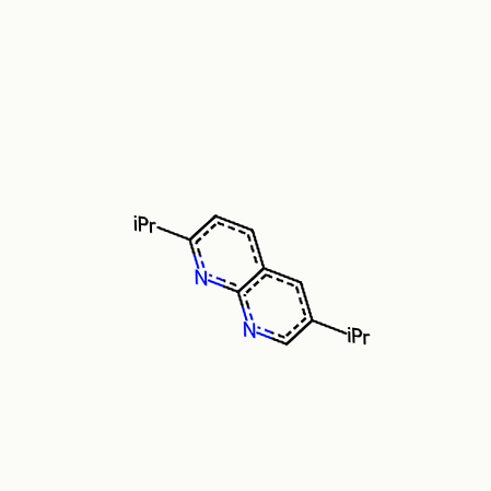 CC(C)c1cnc2nc(C(C)C)ccc2c1